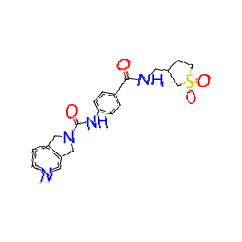 O=C(NCC1CCS(=O)(=O)C1)c1ccc(NC(=O)N2Cc3ccncc3C2)cc1